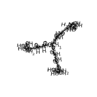 CC(COCCC(=O)NCCCNC(=O)CCCCOC1OC(CO)C(O)C(O)C1N)(COCCC(=O)NCCCNC(=O)CCCCOC1OC(CO)C(O)C(O)C1N)COCCC(=O)NCCNC(=O)CCCCOC1OC(CO)C(O)C(O)C1N